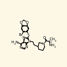 C[C@H](N)C(=O)N1CCCC(CCn2c(Sc3cc4c(cc3Br)OCO4)nc3c(N)ncnc32)C1